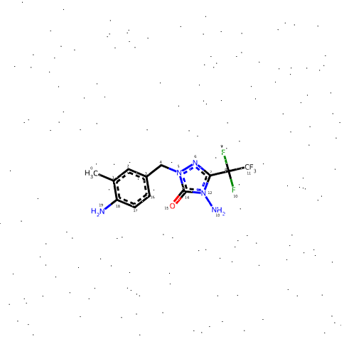 Cc1cc(Cn2nc(C(F)(F)C(F)(F)F)n(N)c2=O)ccc1N